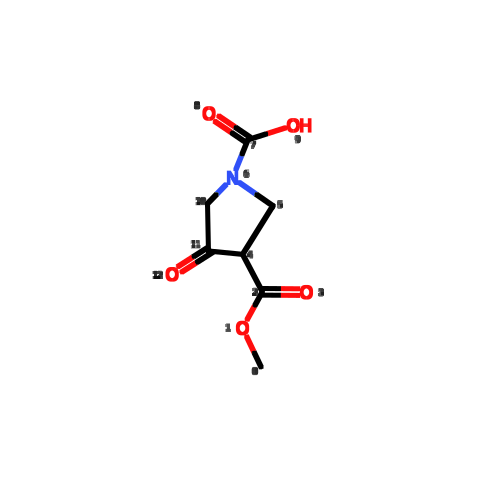 COC(=O)C1CN(C(=O)O)CC1=O